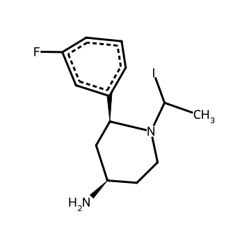 CC(I)N1CC[C@@H](N)C[C@H]1c1cccc(F)c1